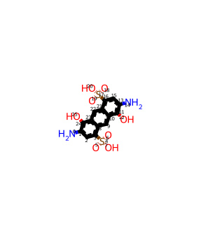 Nc1cc(S(=O)(=O)O)c2cc3c(O)c(N)cc(S(=O)(=O)O)c3cc2c1O